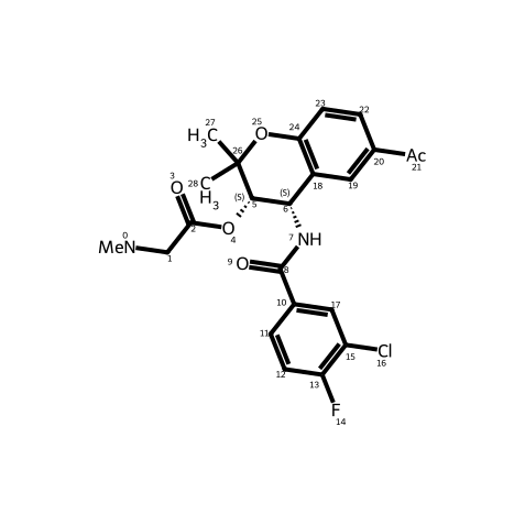 CNCC(=O)O[C@H]1[C@@H](NC(=O)c2ccc(F)c(Cl)c2)c2cc(C(C)=O)ccc2OC1(C)C